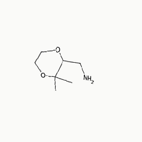 CC1(C)OCCOC1CN